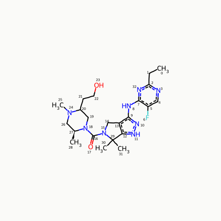 CCc1ncc(F)c(Nc2n[nH]c3c2CN(C(=O)N2CC(CCO)N(C)C[C@@H]2C)C3(C)C)n1